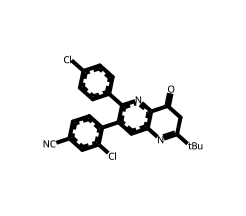 CC(C)(C)C1=Nc2cc(-c3ccc(C#N)cc3Cl)c(-c3ccc(Cl)cc3)nc2C(=O)C1